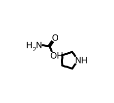 C1CCNC1.NC(=O)O